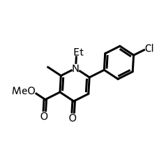 CCn1c(-c2ccc(Cl)cc2)cc(=O)c(C(=O)OC)c1C